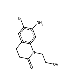 Nc1cc2c(cc1Br)CCC(=O)N2CCO